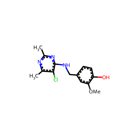 COc1cc(CNc2nc(C)nc(C)c2Cl)ccc1O